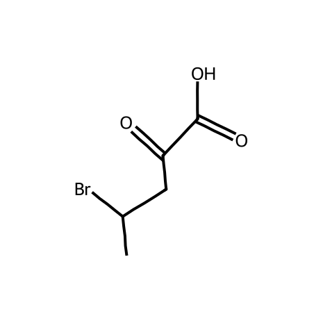 CC(Br)CC(=O)C(=O)O